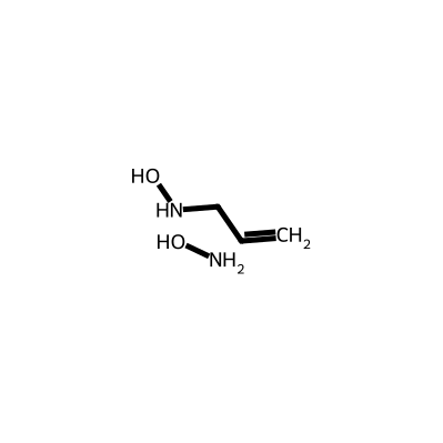 C=CCNO.NO